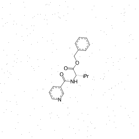 CC(C)[C@H](NC(=O)c1cccnc1)C(=O)OCc1ccccc1